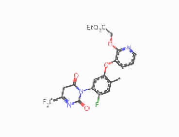 CCOC(=O)COc1ncccc1Oc1cc(N2C(=O)CC(C(F)(F)F)=NC2=O)c(F)cc1C